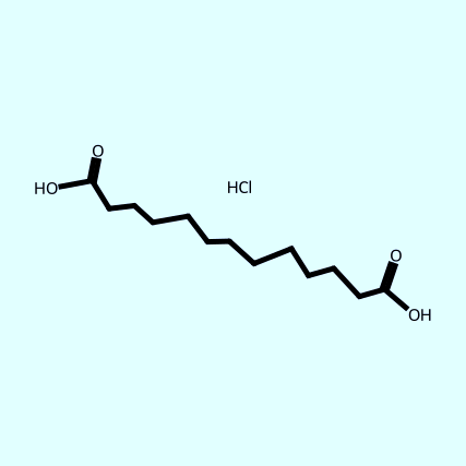 Cl.O=C(O)CCCCCCCCCCCC(=O)O